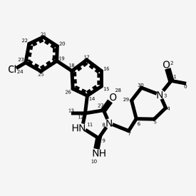 CC(=O)N1CCC(CN2C(=N)NC(C)(c3cccc(-c4cccc(Cl)c4)c3)C2=O)CC1